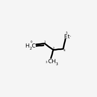 C=CC(C)C[CH]C